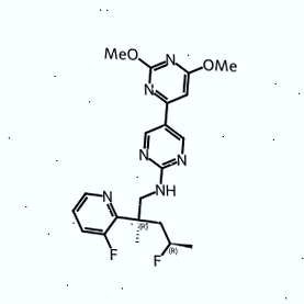 COc1cc(-c2cnc(NC[C@@](C)(C[C@@H](C)F)c3ncccc3F)nc2)nc(OC)n1